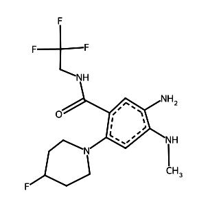 CNc1cc(N2CCC(F)CC2)c(C(=O)NCC(F)(F)F)cc1N